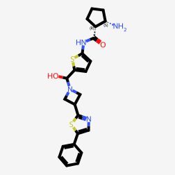 N[C@H]1CCC[C@H]1C(=O)Nc1ccc(C(O)N2CC(c3ncc(-c4ccccc4)s3)C2)s1